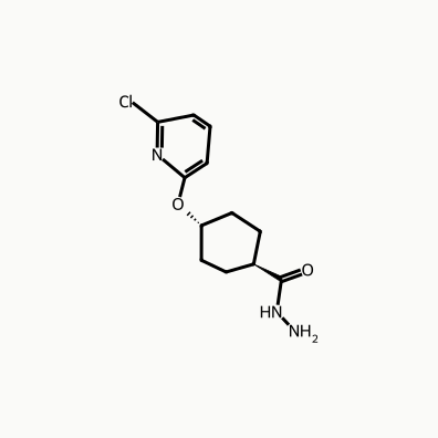 NNC(=O)[C@H]1CC[C@H](Oc2cccc(Cl)n2)CC1